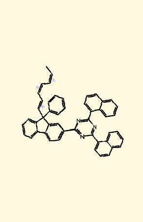 C\C=C/C=C\C=C\C1(c2ccccc2)c2ccccc2-c2ccc(-c3nc(-c4cccc5ccccc45)nc(-c4cccc5ccccc45)n3)cc21